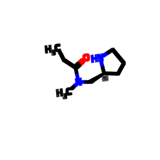 CCC(=O)N(C)C[C@@H]1CCCN1